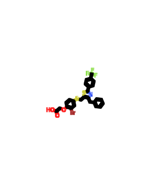 O=C(O)COc1ccc(SCc2sc(-c3ccc(C(F)(F)F)cc3)nc2Cc2ccccc2)cc1Br